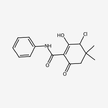 CC1(C)CC(=O)C(C(=O)Nc2ccccc2)=C(O)C1Cl